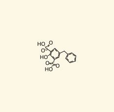 O=S(=O)(O)c1cc(Cc2ccccc2)cc(S(=O)(=O)O)c1O